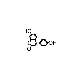 O=C1C[C@@H](c2ccc(O)cc2)c2ccc(O)cc2O1